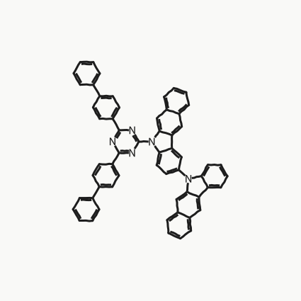 c1ccc(-c2ccc(-c3nc(-c4ccc(-c5ccccc5)cc4)nc(-n4c5ccc(-n6c7ccccc7c7cc8ccccc8cc76)cc5c5cc6ccccc6cc54)n3)cc2)cc1